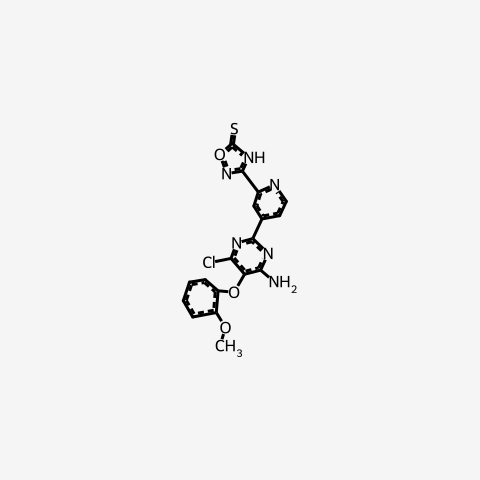 COc1ccccc1Oc1c(N)nc(-c2ccnc(-c3noc(=S)[nH]3)c2)nc1Cl